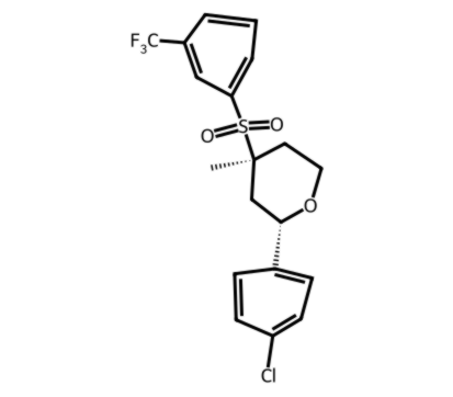 C[C@]1(S(=O)(=O)c2cccc(C(F)(F)F)c2)CCO[C@H](c2ccc(Cl)cc2)C1